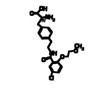 COCCOc1ccc(Cl)cc1C(=O)NCCc1ccc(C[C@H](N)C(=O)O)cc1